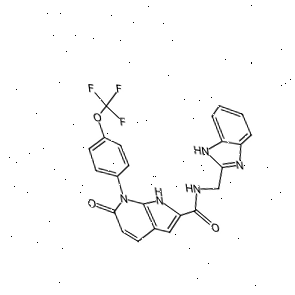 O=C(NCc1nc2ccccc2[nH]1)c1cc2ccc(=O)n(-c3ccc(OC(F)(F)F)cc3)c2[nH]1